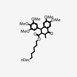 CCCCCCCCCCCCCCCCOC(=O)C1C(C)C(=O)c2cc(OC)c(OC)cc2C1c1cc(OC)c(OC)c(OC)c1